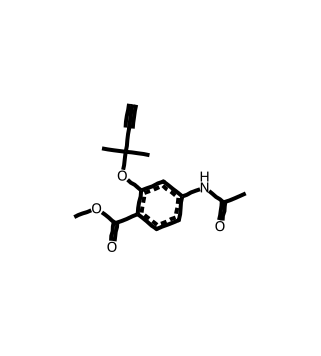 C#CC(C)(C)Oc1cc(NC(C)=O)ccc1C(=O)OC